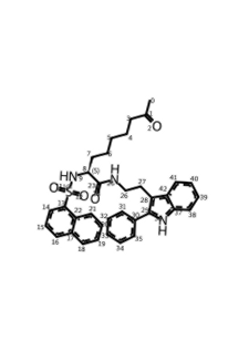 CC(=O)CCCCC[C@H](NS(=O)(=O)c1cccc2ccccc12)C(=O)NCCc1c(-c2ccccc2)[nH]c2ccccc12